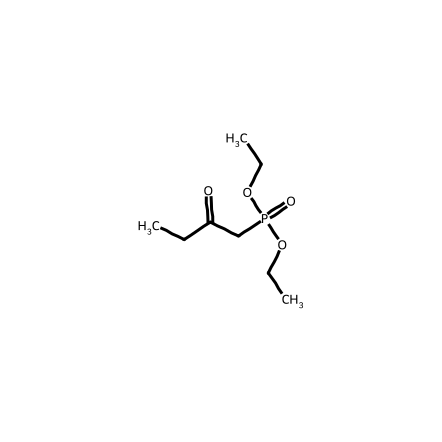 CCOP(=O)(CC(=O)CC)OCC